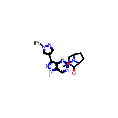 CC(C)n1cc(-c2n[nH]c3cnc(N4C5CCC4C(=O)N(C)C5)nc23)cn1